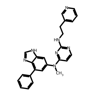 CN(c1cc(-c2ccccc2)c2nc[nH]c2c1)c1ccnc(NCCc2cccnc2)n1